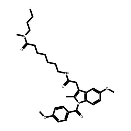 CCCCN(C)C(=O)CCCCCCNC(=O)Cc1c(C)n(C(=O)c2ccc(OC)cc2)c2ccc(OC)cc12